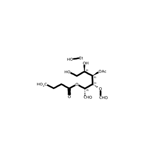 CC(=O)O[C@@H]([C@H](OC=O)[C@H](C=O)OC(=O)CCC(=O)O)[C@H](O)CO.CCO